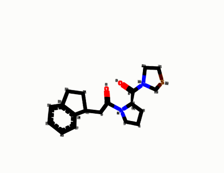 O=C([C@H]1CCCN1C(=O)CC1CCc2ccccc21)N1CCSC1